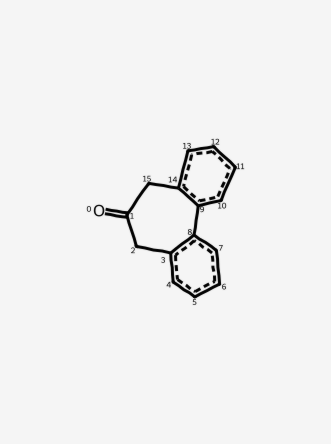 O=C1Cc2ccccc2-c2ccccc2C1